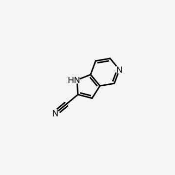 N#Cc1cc2cnccc2[nH]1